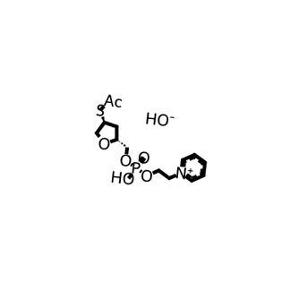 CC(=O)S[C@@H]1CO[C@@H](COP(=O)(O)OCC[n+]2ccccc2)C1.[OH-]